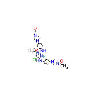 COc1cc(N2CCN(CC=O)CC2)ccc1Nc1ncc(Cl)c(Nc2ccc(N3CCN(C(C)=O)CC3)cc2F)n1